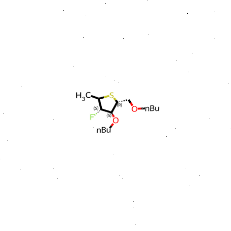 CCCCOC[C@H]1SC(C)[C@@H](F)[C@@H]1OCCCC